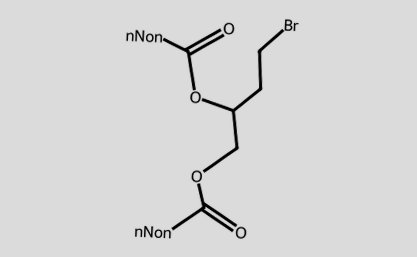 CCCCCCCCCC(=O)OCC(CCBr)OC(=O)CCCCCCCCC